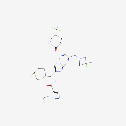 CCn1nccc1C(=O)N[C@H](c1cn2nc(C[C@H]3C[C@@H](C(F)(F)F)CNC3=O)c(CN3CC(C)(F)C3)nc2n1)C1CCC(F)(F)CC1